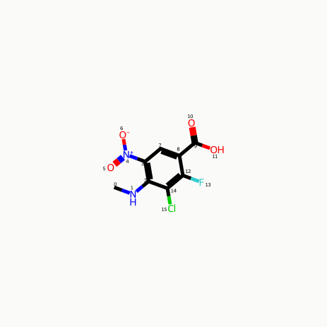 CNc1c([N+](=O)[O-])cc(C(=O)O)c(F)c1Cl